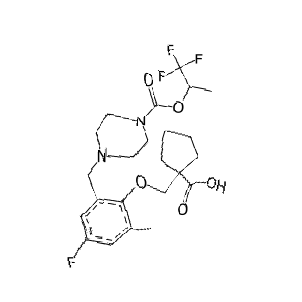 Cc1cc(F)cc(CN2CCN(C(=O)OC(C)C(F)(F)F)CC2)c1OCC1(C(=O)O)CCCC1